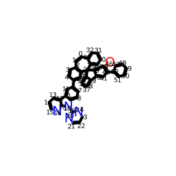 C1=Cc2ccc(-c3ccc4c(c3)c3cccnc3n4-c3ncccn3)cc2C2(c3ccccc31)c1ccccc1-c1cc3c(cc12)oc1ccccc13